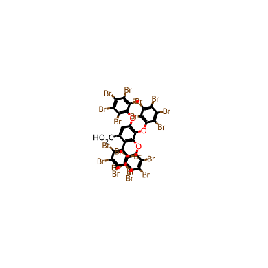 O=C(O)c1cc(Oc2c(Br)c(Br)c(Br)c(Br)c2Br)c(Oc2c(Br)c(Br)c(Br)c(Br)c2Br)c(Oc2c(Br)c(Br)c(Br)c(Br)c2Br)c1-c1c(Br)c(Br)c(Br)c(Br)c1Br